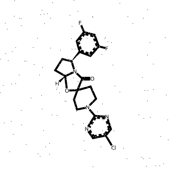 O=C1N2[C@@H](CC[C@H]2c2cc(F)cc(F)c2)OC12CCN(c1ncc(Cl)cn1)CC2